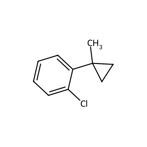 CC1(c2ccccc2Cl)CC1